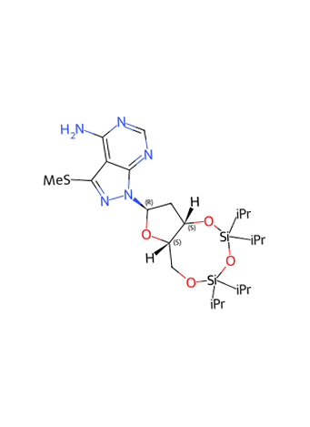 CSc1nn([C@H]2C[C@@H]3O[Si](C(C)C)(C(C)C)O[Si](C(C)C)(C(C)C)OC[C@@H]3O2)c2ncnc(N)c12